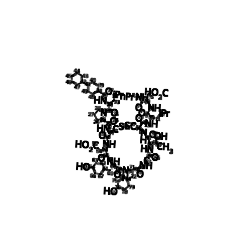 CCCNC(=O)[C@H](CC(=O)O)NC(=O)[C@H](CC(C)C)NC(=O)[C@@H]1CSSC[C@H](NC(=O)[C@@H]2CCCN2C(=O)[C@H](CC(C)C)NC(=O)c2ccc(-c3ccccc3)cc2)C(=O)N[C@@H](CC(=O)O)C(=O)N[C@@H](Cc2ccc(O)cc2)C(=O)N[C@@H](Cc2ccc(O)cc2)C(=O)NCC(=O)N[C@@H](C(C)O)C(=O)N1